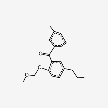 CCCc1ccc(OCOC)c(C(=O)c2cccc(C)c2)c1